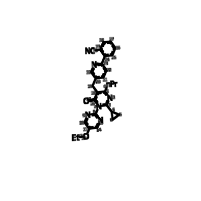 CCCc1nc(C2CC2)n(-c2ncc(OCC)cn2)c(=O)c1Cc1ccc(-c2ccccc2C#N)nc1